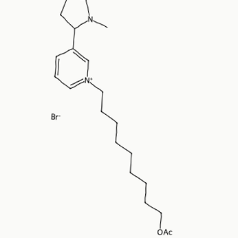 CC(=O)OCCCCCCCCC[n+]1cccc(C2CCCN2C)c1.[Br-]